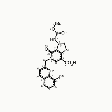 CC(C)(C)OC(=O)N[C@H]1CSc2c(C(=O)O)cn(Cc3ccc4cccc(F)c4n3)c(=O)c21